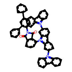 O=C1c2cccc(-n3c4cc(-n5c6ccccc6c6ccccc65)ccc4c4ccc(-n5c6ccccc6c6ccccc65)cc43)c2C(=O)N1c1ccc(-c2ccccc2)cc1-c1ccccc1